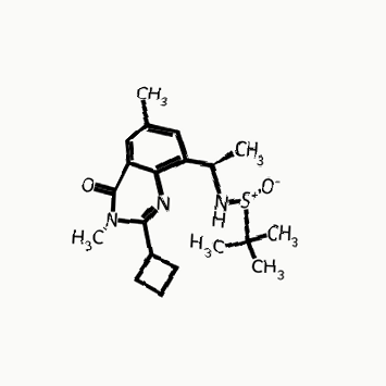 Cc1cc([C@@H](C)N[S@+]([O-])C(C)(C)C)c2nc(C3CCC3)n(C)c(=O)c2c1